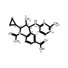 CC(=O)N1c2ccc(C(=O)O)cc2C(Nc2ccnc(C)n2)C(C)C1C1CC1